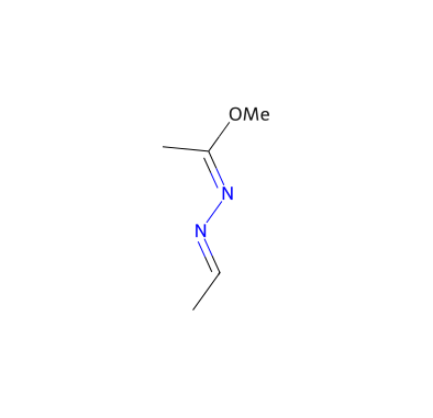 CC=NN=C(C)OC